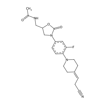 CC(=O)NCC1CN(c2ccc(N3CCC(=CCC#N)CC3)c(F)c2)C(=O)O1